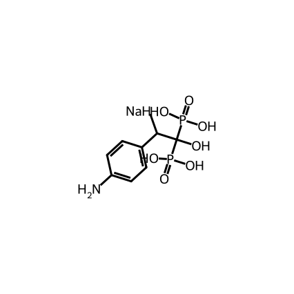 CC(c1ccc(N)cc1)C(O)(P(=O)(O)O)P(=O)(O)O.[NaH]